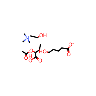 CCC(OC(C)=O)C(=O)O.C[N+](C)(C)CCO.O=C([O-])CCCCO